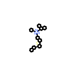 c1ccc(-c2nc(-c3ccc4c(ccc5c6cccc(-c7ccc8ccccc8c7)c6sc45)c3)nc(-c3cc4ccccc4c4ccccc34)n2)cc1